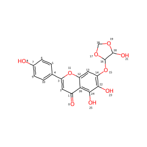 O=c1cc(-c2ccc(O)cc2)oc2cc(OC3OCOC3O)c(O)c(O)c12